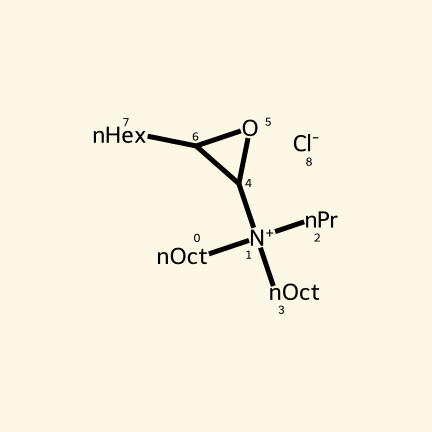 CCCCCCCC[N+](CCC)(CCCCCCCC)C1OC1CCCCCC.[Cl-]